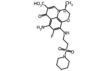 C[C@H]1COc2c(NCCS(=O)(=O)N3CCCCC3)c(F)c(N)c3c(=O)c(C(=O)O)cn1c23